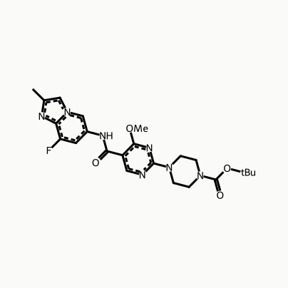 COc1nc(N2CCN(C(=O)OC(C)(C)C)CC2)ncc1C(=O)Nc1cc(F)c2nc(C)cn2c1